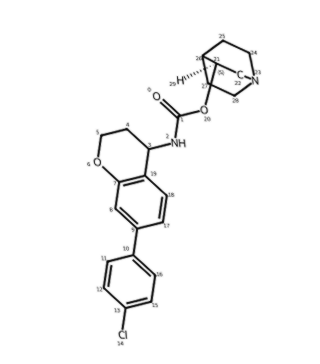 O=C(NC1CCOc2cc(-c3ccc(Cl)cc3)ccc21)O[C@@H]1CN2CCC1CC2